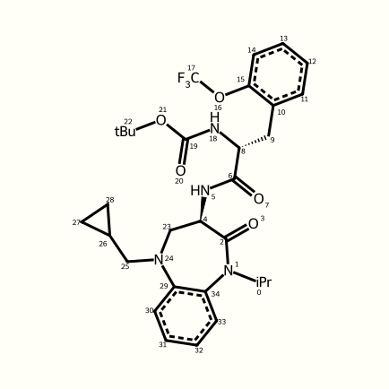 CC(C)N1C(=O)[C@H](NC(=O)[C@@H](Cc2ccccc2OC(F)(F)F)NC(=O)OC(C)(C)C)CN(CC2CC2)c2ccccc21